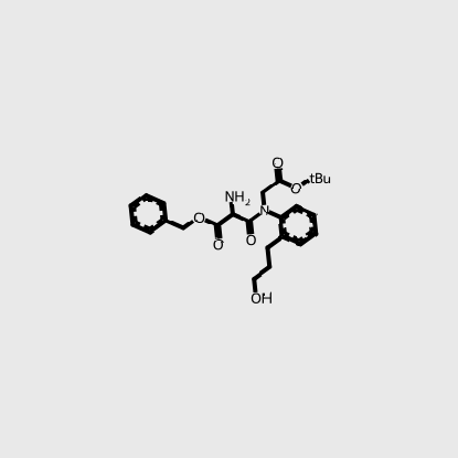 CC(C)(C)OC(=O)CN(C(=O)C(N)C(=O)OCc1ccccc1)c1ccccc1CCCO